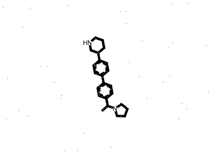 CC(c1ccc(-c2ccc(C3CCCNC3)cc2)cc1)N1CCCC1